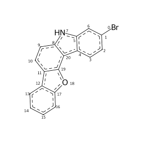 Brc1ccc2c(c1)[nH]c1ccc3c4ccccc4oc3c12